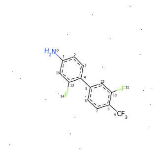 Nc1ccc(-c2ccc(C(F)(F)F)c(F)c2)c(F)c1